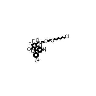 CN(C)c1ccc(C2(c3ccc(N(C)C)cc3)OC(=O)c3c(F)c(F)c(C(=O)NCCOCCOCCCCCCCl)c(F)c32)cc1